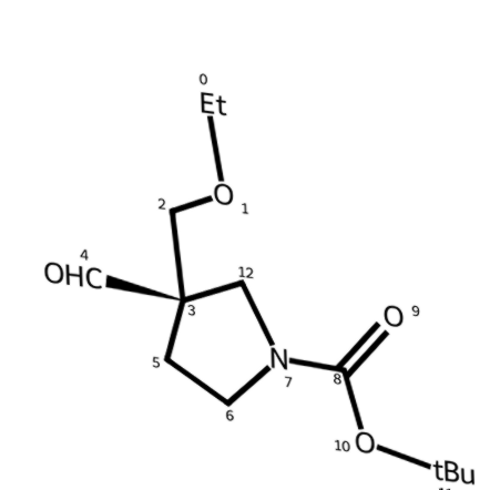 CCOC[C@@]1(C=O)CCN(C(=O)OC(C)(C)C)C1